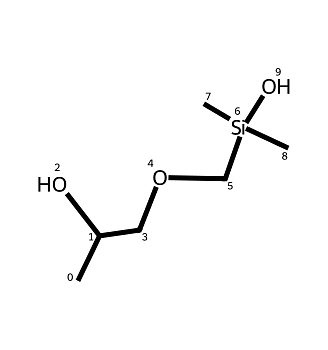 CC(O)COC[Si](C)(C)O